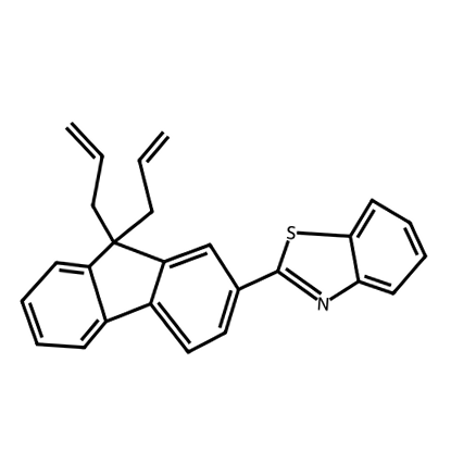 C=CCC1(CC=C)c2ccccc2-c2ccc(-c3nc4ccccc4s3)cc21